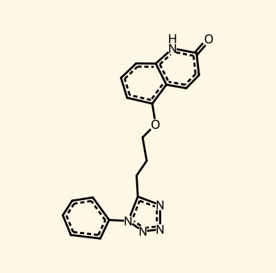 O=c1ccc2c(OCCCc3nnnn3-c3ccccc3)cccc2[nH]1